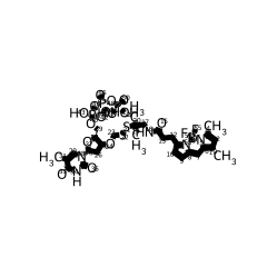 Cc1cc(C)n2c1C=C1C=CC(CCC(=O)NCC(C)(C)SSCOC3C[C@H](n4cc(C)c(=O)[nH]c4=O)O[C@@H]3COP(=O)(O)OP(=O)(O)OP(=O)(O)O)=[N+]1[B-]2(F)F